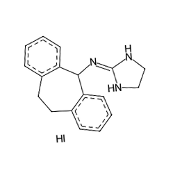 I.c1ccc2c(c1)CCc1ccccc1C2N=C1NCCN1